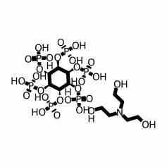 O=P(O)(O)O[C@H]1[C@H](OP(=O)(O)O)[C@@H](OP(=O)(O)O)[C@H](OP(=O)(O)O)[C@@H](OP(=O)(O)O)[C@H]1OP(=O)(O)O.OCCN(CCO)CCO